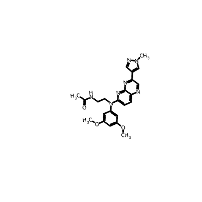 COc1cc(OC)cc(N(CCNC(C)=O)c2ccc3ncc(-c4cnn(C)c4)nc3n2)c1